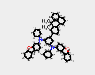 CC1(C)c2cc(-c3cc(N(c4ccccc4)c4ccc5c(c4)oc4ccccc45)cc(N(c4ccccc4)c4ccc5oc6ccccc6c5c4)c3)ccc2-c2cccc3cccc1c23